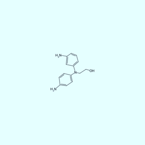 Nc1ccc(N(CCO)c2cccc(N)c2)cc1